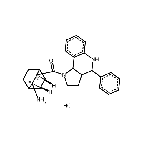 Cl.N[C@@H]1C2CCC(CC2)[C@@H]1C(=O)N1CCC2C(c3ccccc3)Nc3ccccc3C21